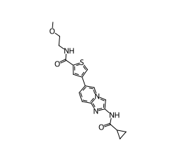 COCCNC(=O)c1cc(-c2ccc3nc(NC(=O)C4CC4)cn3c2)cs1